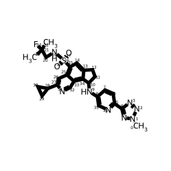 Cn1nnc(-c2ccc(NC3CCc4cc(S(=O)(=O)NCC(C)(C)F)c5cc(C6CC6)ncc5c43)cn2)n1